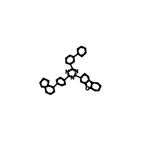 c1ccc(-c2cccc(-c3nc(-c4ccc(-c5cccc6ccccc56)cc4)nc(-c4ccc5c(c4)oc4ccccc45)n3)c2)cc1